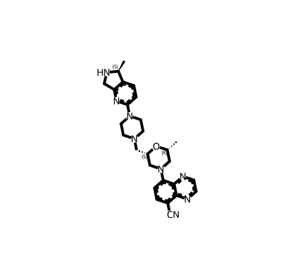 C[C@@H]1CN(c2ccc(C#N)c3nccnc23)C[C@H](CN2CCN(c3ccc4c(n3)CN[C@H]4C)CC2)O1